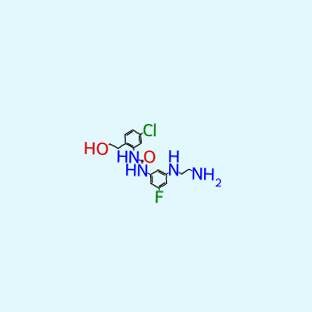 NCCNc1cc(F)cc(NC(=O)Nc2cc(Cl)ccc2CCO)c1